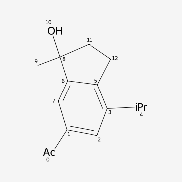 CC(=O)c1cc(C(C)C)c2c(c1)C(C)(O)CC2